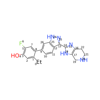 CCc1cc(O)c(F)cc1-c1ccc2c(-c3nc4c([nH]3)CN[CH]C4)n[nH]c2c1